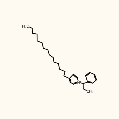 CCCCCCCCCCCCCCCc1cc[n+](C(CC)c2ccccc2)cc1